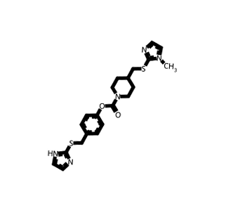 Cn1ccnc1SCC1CCN(C(=O)Oc2ccc(CSc3ncc[nH]3)cc2)CC1